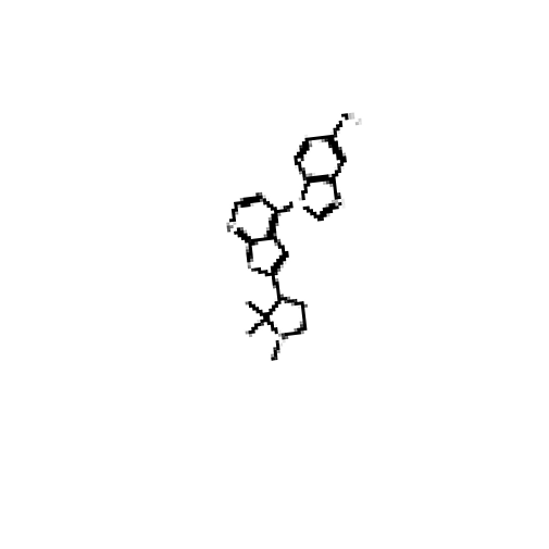 CN1CCC(c2cc3c([SH]4C=Nc5cc(N)ccc54)ccnc3s2)C1(C)C